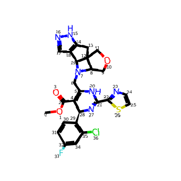 COC(=O)C1=C(CN2C3COCC34Cc3[nH]ncc3C24)NC(c2nccs2)=N[C@H]1c1ccc(F)cc1Cl